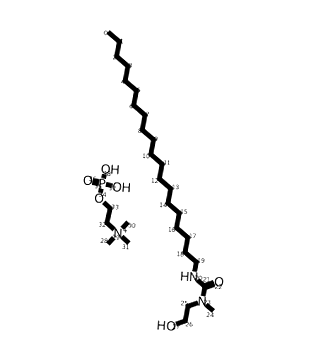 CCCCCCCCCCCCCCCCCCCCNC(=O)N(C)CCO.C[N+](C)(C)CCOP(=O)(O)O